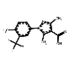 Cc1ccc(-n2nc(C)c(C(=O)O)c2C)cc1C(F)(F)F